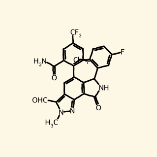 Cn1nc2c3c(c(-c4c(F)cc(C(F)(F)F)cc4C(N)=O)cc2c1C=O)C(c1cc(F)ccc1Cl)NC3=O